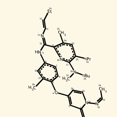 C=C1C=C(Oc2ccc(N/C(=N/C=C/CC)c3nc(N(C)CCCC)c(CCC)cc3C)cc2C)C=CN1/N=C\C